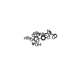 CCCCO[C@@H]1[C@@H](OCCCC)[C@H](c2ccc(Cl)c(Cc3ncc(C4=CCCO4)s3)c2)O[C@H](C2(O)CC2)[C@H]1OCCCC